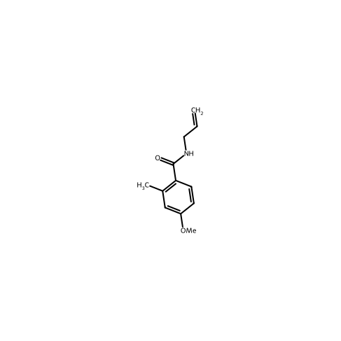 C=CCNC(=O)c1ccc(OC)cc1C